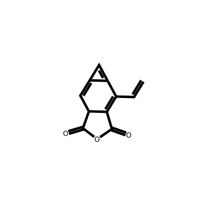 C=CC1=C2C(=O)OC(=O)C2C=C2C=C21